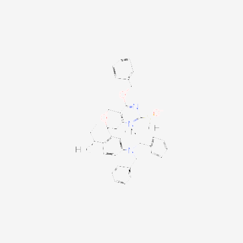 C[C@H]1CC[C@]2(Cc3nc([S+](C)[O-])nc(OCc4ccccc4)c3CO2)c2c1ccc(N(Cc1ccccc1)Cc1ccccc1)c2C#N